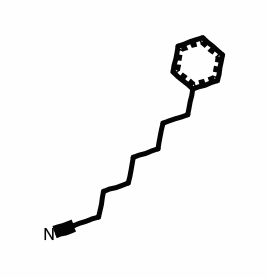 N#CCCCCCCCc1ccccc1